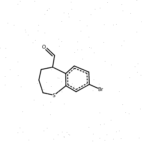 O=CC1CCCSc2cc(Br)ccc21